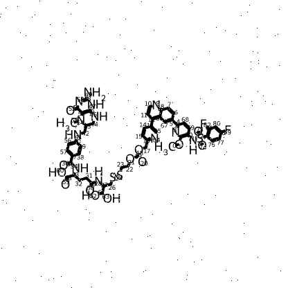 COc1nc(-c2ccc3nccc(-c4ccc(COC(=O)OCCSSCC(NC(=O)CCC(NC(=O)c5ccc(NCC6CNc7[nH]c(N)nc(=O)c7N6C)cc5)C(=O)O)C(O)O)nc4)c3c2)ccc1NS(=O)(=O)c1ccc(F)cc1F